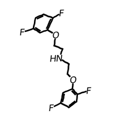 Fc1ccc(F)c(OCCNCCOc2cc(F)ccc2F)c1